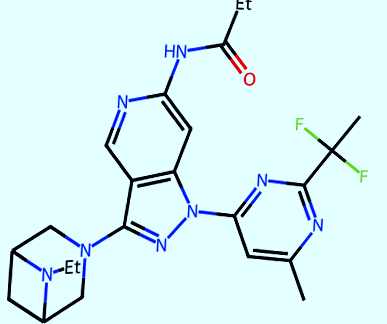 CCC(=O)Nc1cc2c(cn1)c(N1CC3CC(C1)N3CC)nn2-c1cc(C)nc(C(C)(F)F)n1